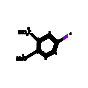 CCOC(=O)c1cc(I)ccc1OC